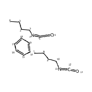 CCCCN=C=O.CCCCN=C=O.c1ccccc1